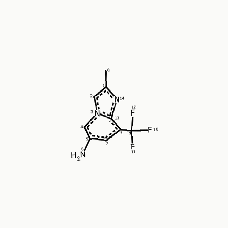 Cc1cn2cc(N)cc(C(F)(F)F)c2n1